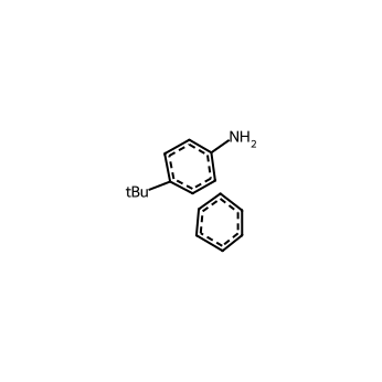 CC(C)(C)c1ccc(N)cc1.c1ccccc1